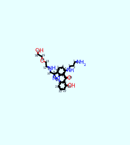 NCCCNc1ccc2c(CNCCOCCO)nn3c4cccc(O)c4c(=O)c1c23